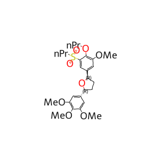 CCCOc1c(OC)cc([C@H]2CC[C@H](c3cc(OC)c(OC)c(OC)c3)O2)cc1S(=O)(=O)CCC